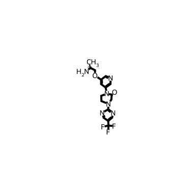 C[C@H](N)COc1cncc(N2CCN(c3ncc(C(F)(F)F)cn3)CC2=O)c1